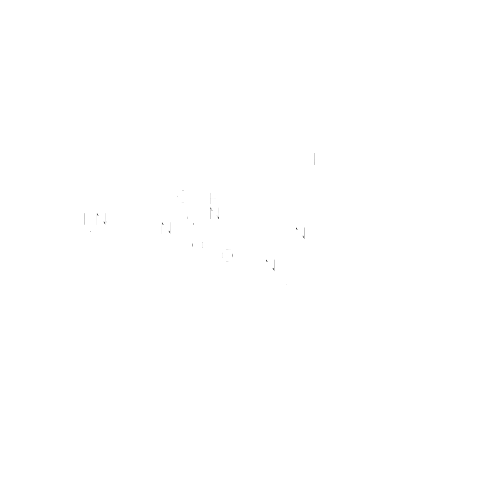 CC1CCN(c2nc(-c3ccc(F)cc3F)ccc2C(=O)NS(=O)(=O)N2CC[C@H](N)C2)C1(C)C